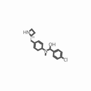 CN(C1C=CC(C[C@H]2CCN2)=CC1)C(O)c1ccc(Cl)cc1